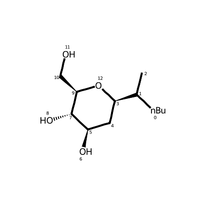 CCCCC(C)[C@H]1C[C@@H](O)[C@H](O)[C@@H](CO)O1